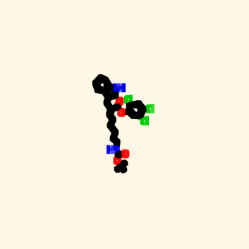 CC(C)(C)OC(=O)NCCCCCC=C(Cc1c[nH]c2ccccc12)C(=O)Oc1cc(Cl)c(Cl)cc1Cl